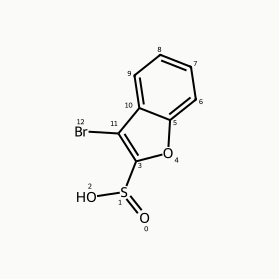 O=S(O)c1oc2ccccc2c1Br